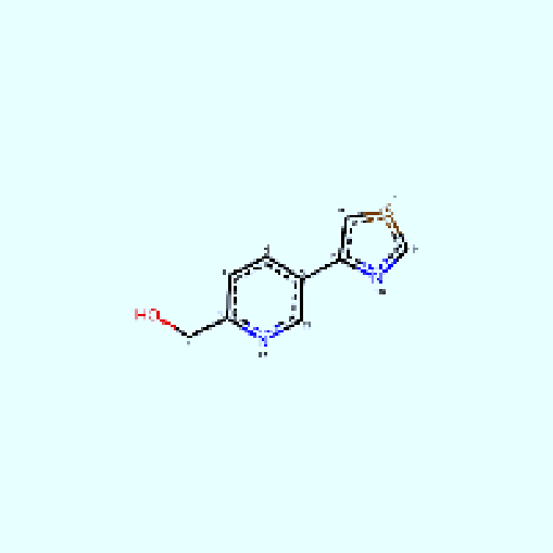 OCc1ccc(-c2cscn2)cn1